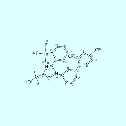 CC(C)(O)c1cn(-c2cccc(-c3ccc(Cl)cc3Cl)c2)c(-c2ccccc2C(F)(F)I)n1